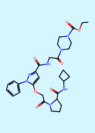 CCOC(=O)N1CCN(C(=O)CNC(=O)c2cc(OCC(=O)N3CCCC3C(=O)NC3CCC3)n(-c3ccccc3)n2)CC1